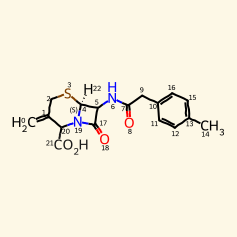 C=C1CS[C@H]2C(NC(=O)Cc3ccc(C)cc3)C(=O)N2C1C(=O)O